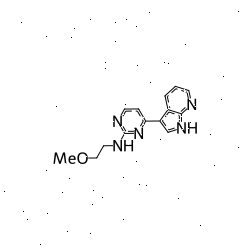 COCCNc1nccc(-c2c[nH]c3ncccc23)n1